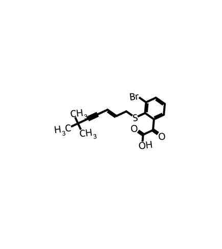 CC(C)(C)C#CC=CCSc1c(Br)cccc1C(=O)C(=O)O